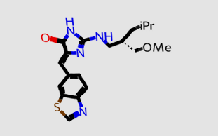 COC[C@H](CNC1=N/C(=C\c2ccc3ncsc3c2)C(=O)N1)CC(C)C